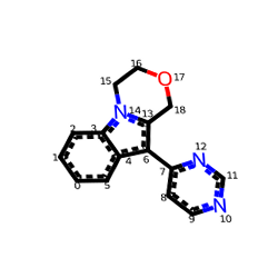 c1ccc2c(c1)c(-c1ccncn1)c1n2CCOC1